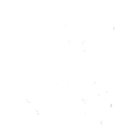 COCCOc1cc(F)ccc1-c1cc(Cl)c(-c2cnn(C)c2)nc1OS(=O)(=O)C(F)(F)F